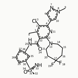 Cc1c(Cl)c(-c2cnn(C)c2)nc(N2CCCC(F)(F)CC2)c1C(=O)Nc1cccc([S@](C)(=N)=O)c1